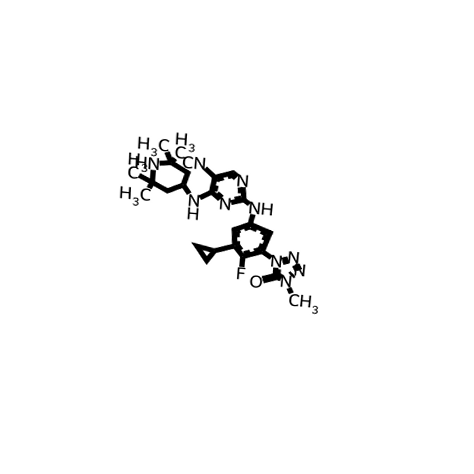 [C-]#[N+]c1cnc(Nc2cc(C3CC3)c(F)c(-n3nnn(C)c3=O)c2)nc1NC1CC(C)(C)NC(C)(C)C1